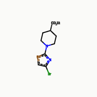 CCOC(=O)C1CCN(c2nc(Br)cs2)CC1